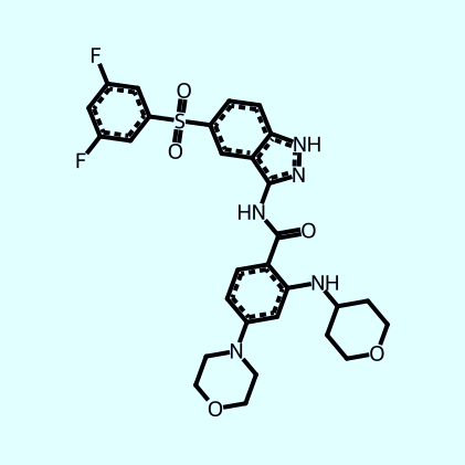 O=C(Nc1n[nH]c2ccc(S(=O)(=O)c3cc(F)cc(F)c3)cc12)c1ccc(N2CCOCC2)cc1NC1CCOCC1